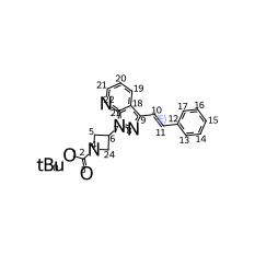 CC(C)(C)OC(=O)N1CC(n2nc(/C=C/c3ccccc3)c3cccnc32)C1